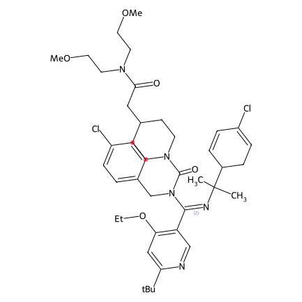 CCOc1cc(C(C)(C)C)ncc1/C(=N/C(C)(C)C1C=CC(Cl)=CC1)N(Cc1ccc(Cl)cc1)C(=O)N1CCC(CC(=O)N(CCOC)CCOC)CC1